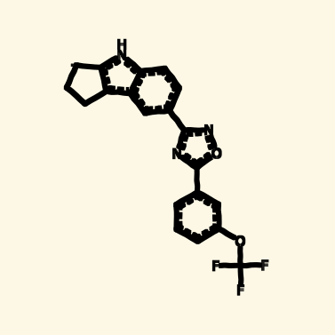 FC(F)(F)Oc1cccc(-c2nc(-c3ccc4[nH]c5c(c4c3)CC[CH]5)no2)c1